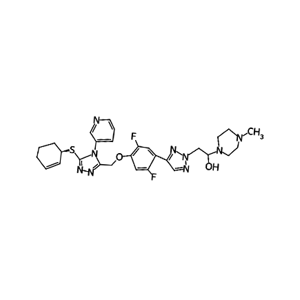 CN1CCN(C(O)Cn2ncc(-c3cc(F)c(OCc4nnc(S[C@H]5C=CCCC5)n4-c4cccnc4)cc3F)n2)CC1